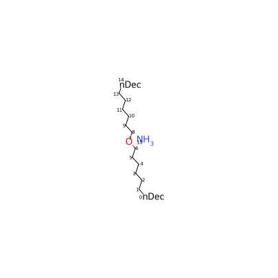 CCCCCCCCCCCCCCCCOCCCCCCCCCCCCCCCC.N